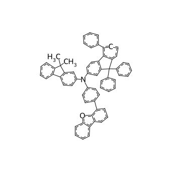 CC1(C)c2ccccc2-c2ccc(N(c3ccc(-c4cccc5c4oc4ccccc45)cc3)c3ccc4c(c3)C(c3ccccc3)(c3ccccc3)c3cccc(-c5ccccc5)c3-4)cc21